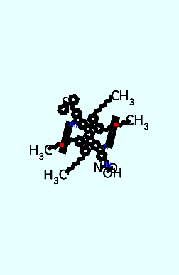 CCCCCCCCc1ccc(C2(c3ccc(CCCCCCCC)cc3)c3cc4c(cc3-c3cc5c(cc32)-c2cc3c(cc2C5(c2ccc(CCCCCCCC)cc2)c2ccc(CCCCCCCC)cc2)-c2ccc(N5c6ccccc6Sc6ccccc65)cc2/C3=C2\CC3C2C2C3C3C5C6C7CCC7C6C5C23)/C(=C2/CC3C2C2C3C3C5C6C7CCC7C6C5C23)c2cc(/C=C(\C#N)C(=O)O)ccc2-4)cc1